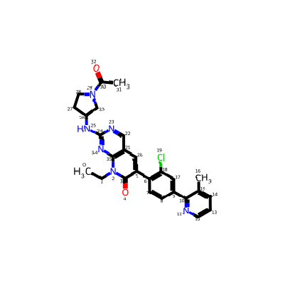 CCn1c(=O)c(-c2ccc(-c3ncccc3C)cc2Cl)cc2cnc(NC3CCN(C(C)=O)C3)nc21